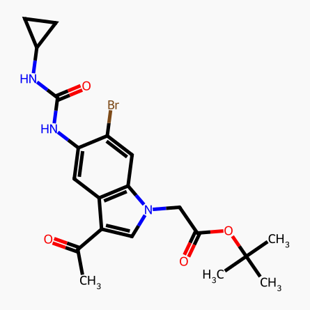 CC(=O)c1cn(CC(=O)OC(C)(C)C)c2cc(Br)c(NC(=O)NC3CC3)cc12